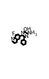 Nc1nc(-c2ccccc2)c(-c2cc(F)c3ncccc3c2)nc1O